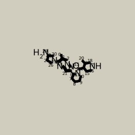 Cc1cn2nc([C@@H]3CCCCN3C(=O)C3CCNCC3C)cc2nc1N1CC[C@H](N)C1